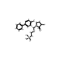 CC1C[C@@H](Cc2ccc(-c3ccccc3)cc2)N(COCC[Si](C)(C)C)C1=O